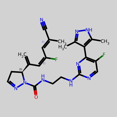 C=C(/C=C(F)\C=C(/C)C#N)[C@@H]1CC=NN1C(=O)NCCNc1ncc(F)c(-c2c(C)n[nH]c2C)n1